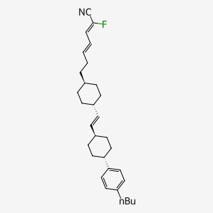 CCCCc1ccc([C@H]2CC[C@H](C=C[C@H]3CC[C@H](CCC=CC=C(F)C#N)CC3)CC2)cc1